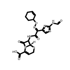 O=CNc1nc(C(=NOC2C=CCCC2)C(=O)NC2C(=O)N3C(C(=O)O)=CCS[C@@H]23)cs1